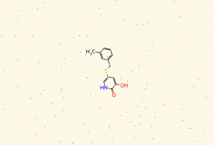 Cc1cccc(CSc2c[nH]c(=O)c(O)c2)c1